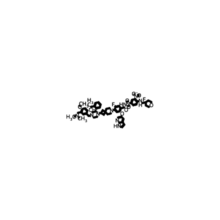 COc1ccc(CN2CCN(C3CC4(CCN(c5cc(Oc6cnc7[nH]ccc7c6)c(C(=O)NS(=O)(=O)c6ccc(NCC7(F)CCOCC7)c([N+](=O)[O-])c6)cc5F)CC4)C3)[C@H](c3ccccc3C(C)C)C2)cc1CN(C)C